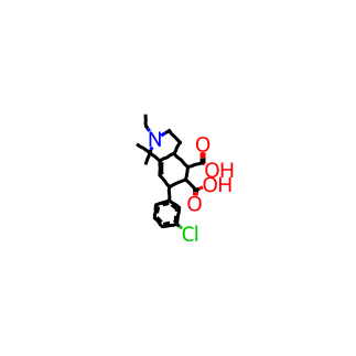 CCN1CCC2C(=CC(c3cccc(Cl)c3)C(C(=O)O)C2C(=O)O)C1(C)C